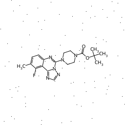 Cc1ccc2nc(N3CCN(C(=O)OC(C)(C)C)CC3)n3ncnc3c2c1F